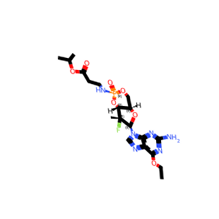 CCOc1nc(N)nc2c1ncn2[C@@H]1O[C@@H]2CO[P@](=O)(NCCC(=O)OC(C)C)O[C@H]2[C@@]1(C)F